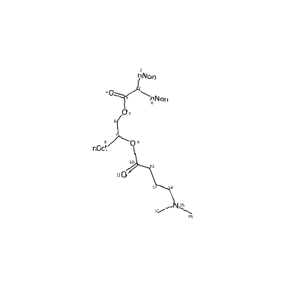 CCCCCCCCCC(CCCCCCCCC)C(=O)OCC(CCCCCCCC)OC(=O)CCCN(C)C